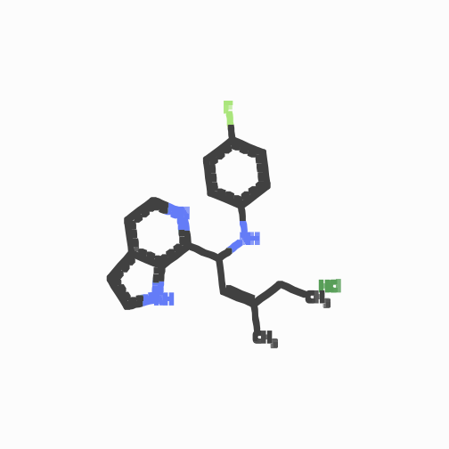 CCC(C)=CC(Nc1ccc(F)cc1)c1nccc2cc[nH]c12.Cl